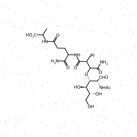 CC(=O)N[C@@H](C=O)[C@@H](OC(C(N)=O)C(C(=O)NC(CCC(=O)NC(C)C(=O)O)C(N)=O)C(C)C)[C@H](O)[C@H](O)CO